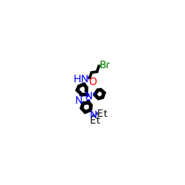 CCN(CC)c1ccc2nc3ccc(NC(=O)CCCBr)cc3[n+](-c3ccccc3)c2c1